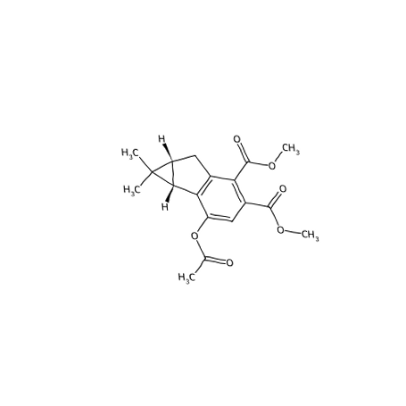 COC(=O)c1cc(OC(C)=O)c2c(c1C(=O)OC)C[C@@H]1[C@H]2C1(C)C